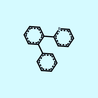 b1ccccc1-c1ccccc1-c1ccccc1